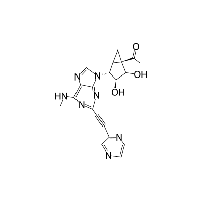 CNc1nc(C#Cc2cnccn2)nc2c1ncn2[C@@H]1C2C[C@]2(C(C)=O)C(O)[C@H]1O